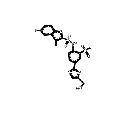 Cc1c(S(=O)(=O)Nc2ccc(-c3nc(CO)cs3)cc2S(C)(=O)=O)sc2ccc(F)cc12